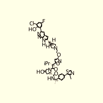 Cc1ncsc1-c1ccc([C@H](C)NC(=O)[C@@H]2C[C@@H](O)CN2C(=O)[C@@H](c2cc(OCCN3C[C@@H]4[C@H](C3)[C@H]4c3cc4cc(-c5cc(F)cc(Cl)c5O)nnc4[nH]3)no2)C(C)C)cc1